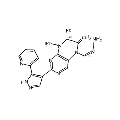 C=C1[C@@H](CC)N(C(C)C)c2nc(-c3cn[nH]c3-c3ccccn3)ncc2N1/C=N\N